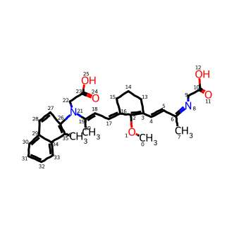 COC1=C(/C=C/C(C)=N\CC(=O)O)CCC/C1=C\C=C(/C)N(CC(=O)O)c1ccc2ccccc2c1C